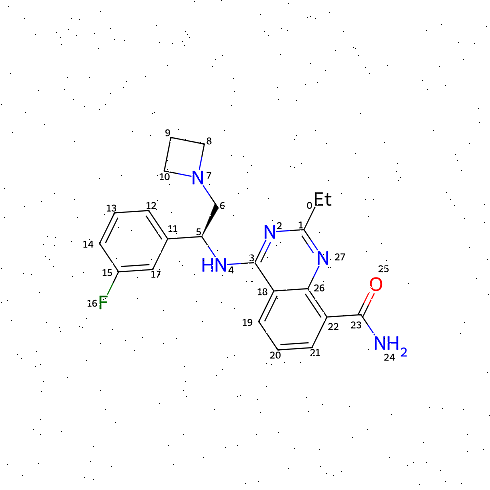 CCc1nc(N[C@H](CN2CCC2)c2cccc(F)c2)c2cccc(C(N)=O)c2n1